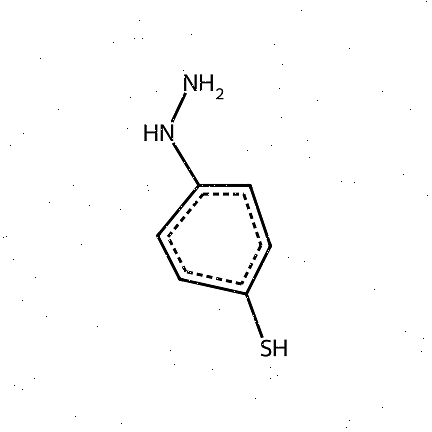 NNc1ccc(S)cc1